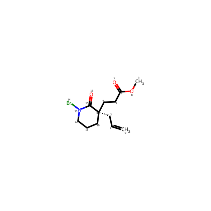 C=CC[C@]1(CCC(=O)OC)CCCN(Br)C1=O